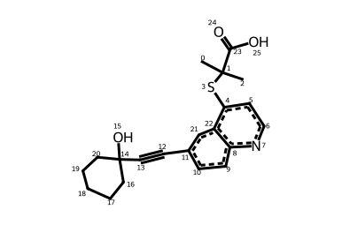 CC(C)(Sc1ccnc2ccc(C#CC3(O)CCCCC3)cc12)C(=O)O